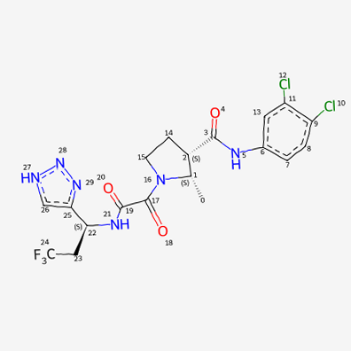 C[C@H]1[C@@H](C(=O)Nc2ccc(Cl)c(Cl)c2)CCN1C(=O)C(=O)N[C@@H](CC(F)(F)F)c1c[nH]nn1